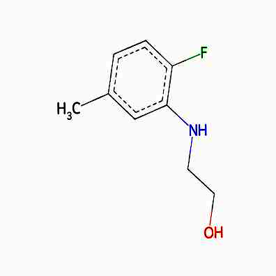 Cc1ccc(F)c(NCCO)c1